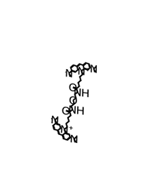 CN(C)c1ccc2cc3ccc(N(C)C)cc3[n+](CCCCCC(=O)NCCOCCNC(=O)CCCCC[n+]3c4cc(N(C)C)ccc4cc4ccc(N(C)C)cc43)c2c1